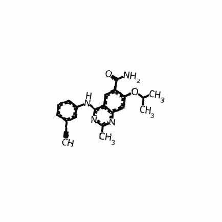 C#Cc1cccc(Nc2nc(C)nc3cc(OC(C)C)c(C(N)=O)cc23)c1